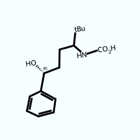 CC(C)(C)C(CC[C@@H](O)c1ccccc1)NC(=O)O